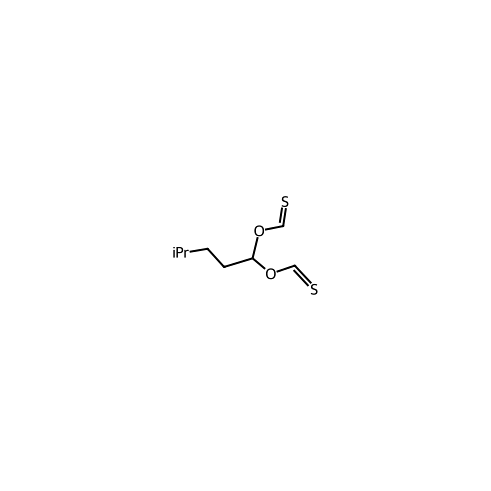 [CH2]C(C)CCC(OC=S)OC=S